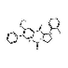 COc1cc(C(=O)N2[C@@H](C(=O)O)CC[C@@H]2c2ccccc2F)ccc1-c1ccccc1